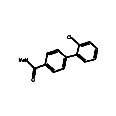 CNC(=O)c1ccc(-c2ccccc2Cl)cc1